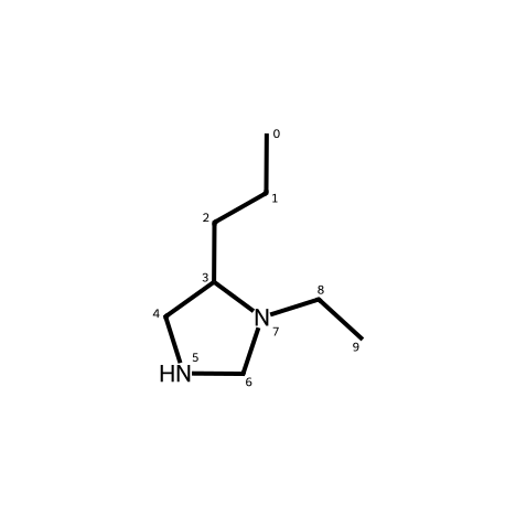 CCCC1CNCN1CC